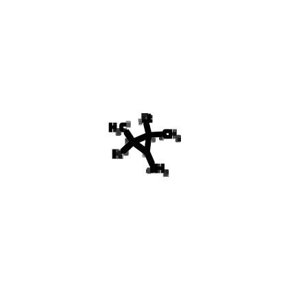 CCC1(C)C(N)C1(C)CC